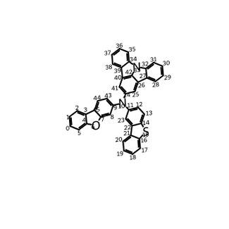 c1ccc2c(c1)oc1cc(N(c3ccc4sc5ccccc5c4c3)c3cc4c5ccccc5n5c6ccccc6c(c3)c45)ccc12